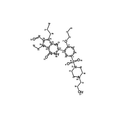 CCCOc1ccc(S(=O)(=O)N2CCN(CCO)CC2)cc1-c1nc2c(CCC)c(C=O)n(CC)c2c(=O)[nH]1